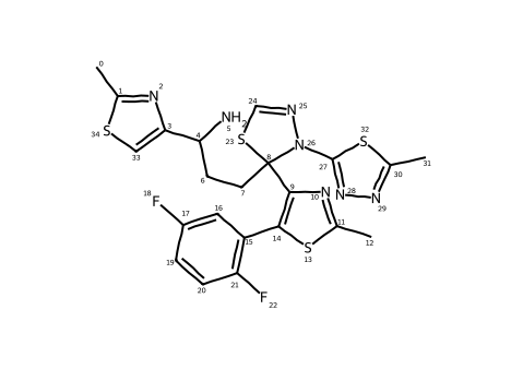 Cc1nc(C(N)CCC2(c3nc(C)sc3-c3cc(F)ccc3F)SC=NN2c2nnc(C)s2)cs1